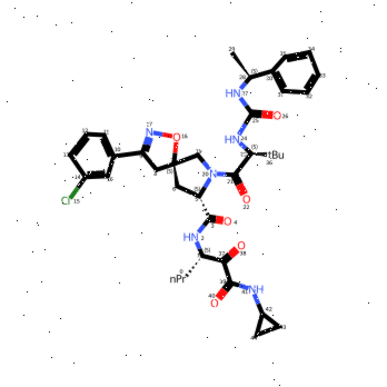 CCC[C@H](NC(=O)[C@@H]1C[C@]2(CC(c3cccc(Cl)c3)=NO2)CN1C(=O)[C@@H](NC(=O)N[C@@H](C)c1ccccc1)C(C)(C)C)C(=O)C(=O)NC1CC1